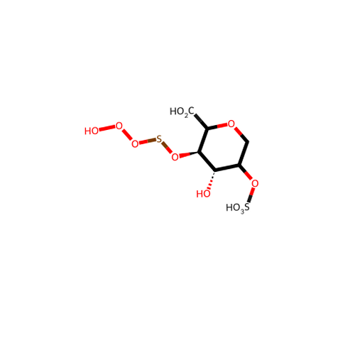 O=C(O)C1OCC(OS(=O)(=O)O)[C@H](O)[C@H]1OSOOO